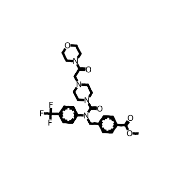 COC(=O)c1ccc(CN(C(=O)N2CCN(CC(=O)N3CCOCC3)CC2)c2ccc(C(F)(F)F)cc2)cc1